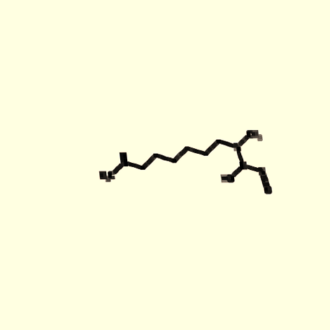 CNCCCCCCN(C)N(O)N=O